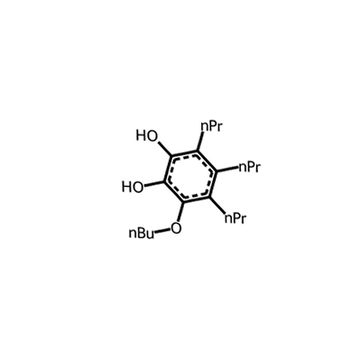 CCCCOc1c(O)c(O)c(CCC)c(CCC)c1CCC